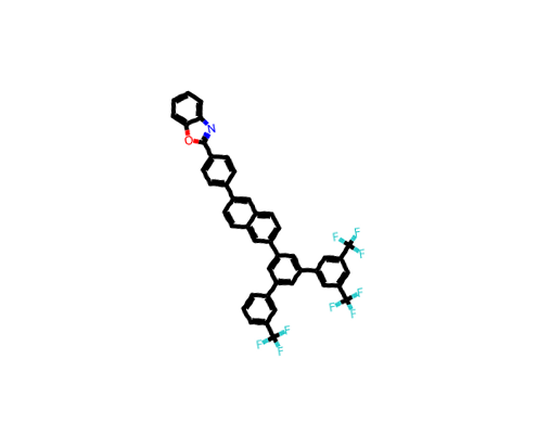 FC(F)(F)c1cccc(-c2cc(-c3cc(C(F)(F)F)cc(C(F)(F)F)c3)cc(-c3ccc4cc(-c5ccc(-c6nc7ccccc7o6)cc5)ccc4c3)c2)c1